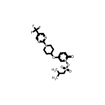 CC(C)CS(=O)(=O)On1cc(OC2CCN(c3ncc(C(F)(F)F)cn3)CC2)ccc1=O